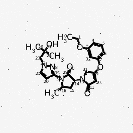 CCOc1cccc(OC2=CC(=O)N([C@H]3CC(C)N(c4ccn(CC(C)(C)O)n4)C3=O)C2)c1